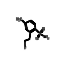 Cc1ccc(S(N)(=O)=O)c(CCF)c1